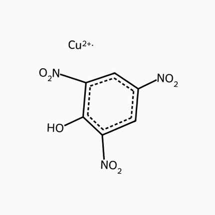 O=[N+]([O-])c1cc([N+](=O)[O-])c(O)c([N+](=O)[O-])c1.[Cu+2]